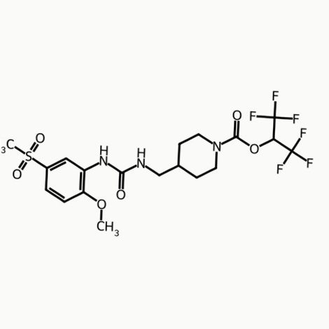 COc1ccc(S(C)(=O)=O)cc1NC(=O)NCC1CCN(C(=O)OC(C(F)(F)F)C(F)(F)F)CC1